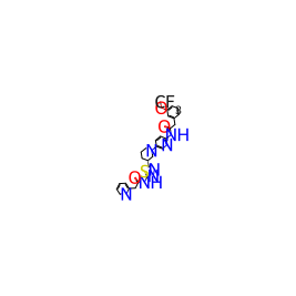 O=C(Cc1cccc(OC(F)(F)F)c1)Nc1ccc(N2CCC[C@H](c3nnc(NC(=O)Cc4ccccn4)s3)C2)cn1